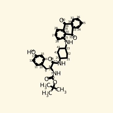 CC(C)(C)OC(=O)N[C@@H](Cc1ccc(O)cc1)C(=O)NC1CCC(Nc2cccc3c2C(=O)c2ccccc2C3=O)CC1